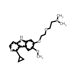 COc1cc2c(cc1OCCOCCN(C)C)[nH]c1ccnc(C3CC3)c12